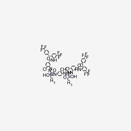 C/C(O)=C(/N=Nc1cc(C(=O)Nc2cc(C(F)(F)F)ccc2Cc2ccc(C(F)(F)F)cc2)ccc1Cl)C(=O)Nc1ccc(NC(=O)/C(N=Nc2cc(C(=O)Nc3cc(C(F)(F)F)ccc3Oc3ccc(C(F)(F)F)cc3)ccc2Cl)=C(\C)O)c(C)c1